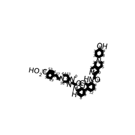 Cn1c(C(=O)Nc2cccc(-c3cccc(NC(=O)c4cc5c(cn4)CN(C4CCC(O)CC4)CC5)c3Cl)c2Cl)nc2c1CCN(CCC13CCC(C(=O)O)(CC1)C3)C2